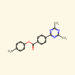 O=C(Oc1ccc([N+](=O)[O-])cc1)c1ccc(-c2nc(C(Cl)(Cl)Cl)nc(C(Cl)(Cl)Cl)n2)cc1